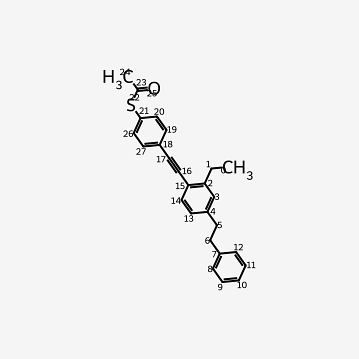 CCc1cc(CCc2ccccc2)ccc1C#Cc1ccc(SC(C)=O)cc1